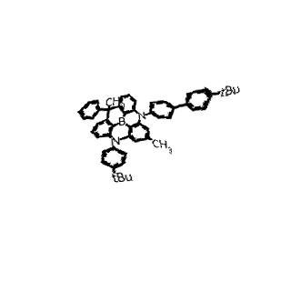 Cc1cc2c3c(c1)N(c1ccc(C(C)(C)C)cc1)c1cccc4c1B3c1c(cccc1C4(C)c1ccccc1)N2c1ccc(-c2ccc(C(C)(C)C)cc2)cc1